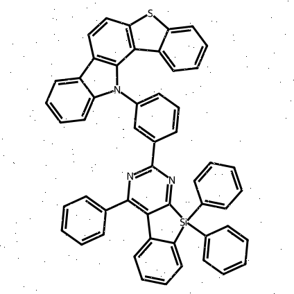 c1ccc(-c2nc(-c3cccc(-n4c5ccccc5c5ccc6sc7ccccc7c6c54)c3)nc3c2-c2ccccc2[Si]3(c2ccccc2)c2ccccc2)cc1